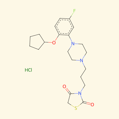 Cl.O=C1CSC(=O)N1CCCN1CCN(c2cc(F)ccc2OC2CCCC2)CC1